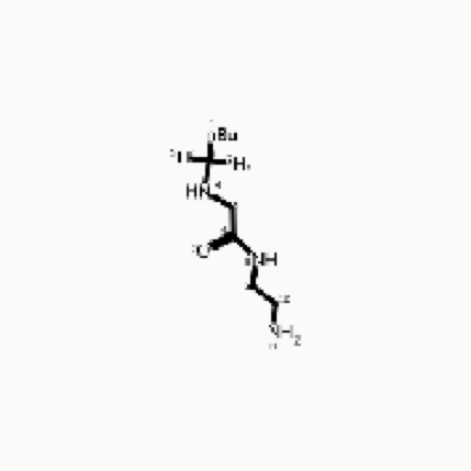 [2H]C([2H])(CCCC)NCC(=O)NCCN